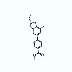 CCc1cc2cc(-c3ccc(C(=O)OC)cc3)cc(C)c2s1